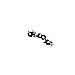 Cc1cc2nncn2nc1N1CCc2ncc(Nc3nsc4ncccc34)cc2C1